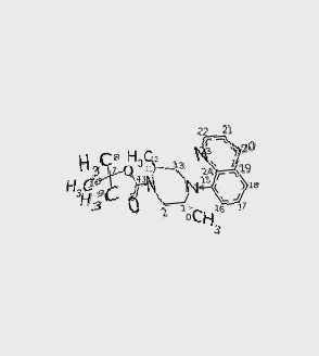 C[C@@H]1CN(C(=O)OC(C)(C)C)[C@@H](C)CN1c1cccc2cccnc12